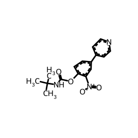 CC(C)(C)NC(=O)Oc1ccc(-c2ccncc2)cc1[N+](=O)[O-]